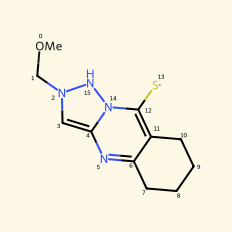 COCN1C=C2N=C3CCCCC3=C([S])N2N1